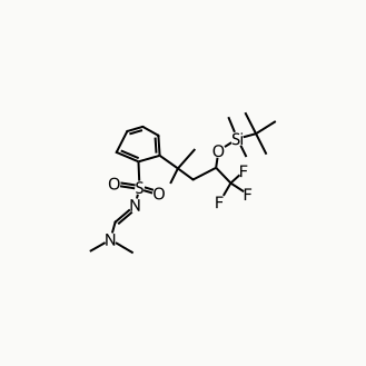 CN(C)/C=N/S(=O)(=O)c1ccccc1C(C)(C)CC(O[Si](C)(C)C(C)(C)C)C(F)(F)F